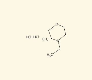 C.CCN1CCOCC1.Cl.Cl